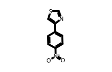 O=[N+]([O-])c1ccc(-c2cscn2)cc1